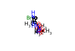 CC(C)C[C@H]1C(=O)N2CCC[C@H]2[C@]2(O)O[C@@](C)(NC(=O)[C@@H]3C=C4c5cccc6[nH]c(Br)c(c56)C[C@H]4N(C)C3)C(=O)N12